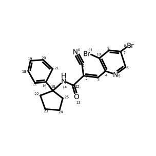 N#C/C(=C\c1ncc(Br)cc1Br)C(=O)NC1(c2ccccc2)CCCC1